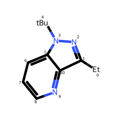 CCc1nn(C(C)(C)C)c2cccnc12